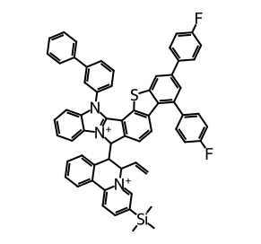 C=CC1C(C2c3ccc4c(sc5cc(-c6ccc(F)cc6)cc(-c6ccc(F)cc6)c54)c3-c3n(-c4cccc(-c5ccccc5)c4)c4ccccc4[n+]32)c2ccccc2-c2ccc([Si](C)(C)C)c[n+]21